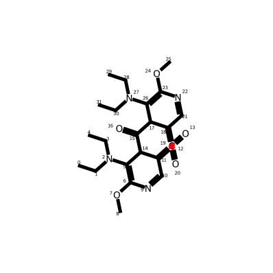 CCN(CC)C1=C(OC)N=CC(=C=O)C1C(=O)C1C(=C=O)C=NC(OC)=C1N(CC)CC